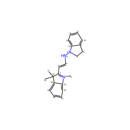 C[N+]1=C(C=CNN2CCc3ccccc32)C(C)(C)c2ccccc21